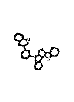 c1cc(-c2cnc3ccccc3c2)cc(-n2c3ccccc3c3c4sc5ccccc5c4ccc32)c1